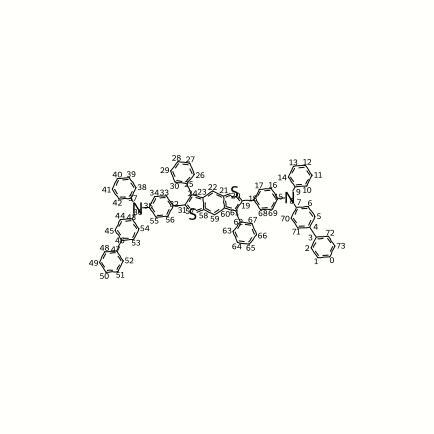 c1ccc(-c2ccc(N(c3ccccc3)c3ccc(-c4sc5cc6c(-c7ccccc7)c(-c7ccc(N(c8ccccc8)c8ccc(-c9ccccc9)cc8)cc7)sc6cc5c4-c4ccccc4)cc3)cc2)cc1